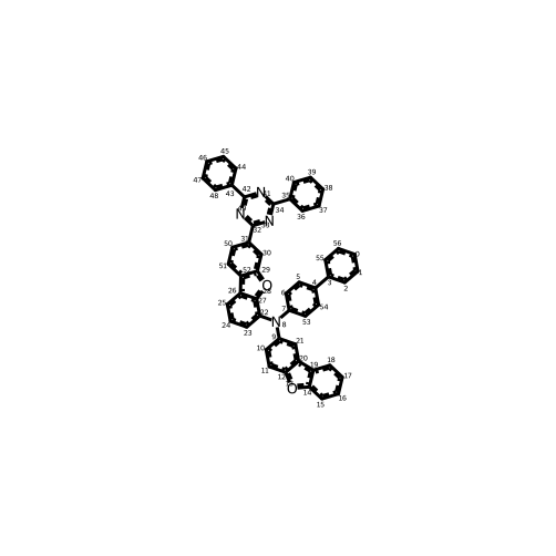 c1ccc(-c2ccc(N(c3ccc4oc5ccccc5c4c3)c3cccc4c3oc3cc(-c5nc(-c6ccccc6)nc(-c6ccccc6)n5)ccc34)cc2)cc1